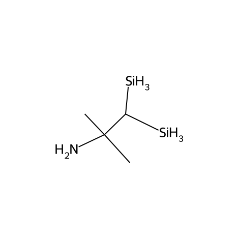 CC(C)(N)C([SiH3])[SiH3]